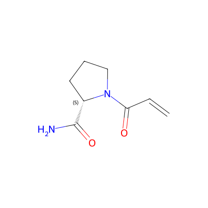 C=CC(=O)N1CCC[C@H]1C(N)=O